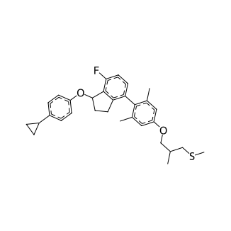 CSCC(C)COc1cc(C)c(-c2ccc(F)c3c2CCC3Oc2ccc(C3CC3)cc2)c(C)c1